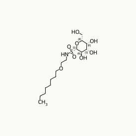 CCCCCCCCOCCNS(=O)(=O)[C@@H]1O[C@H](CO)[C@H](O)[C@H](O)[C@H]1O